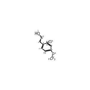 Cl.ON=Cc1ccc(OC(F)(F)F)cc1